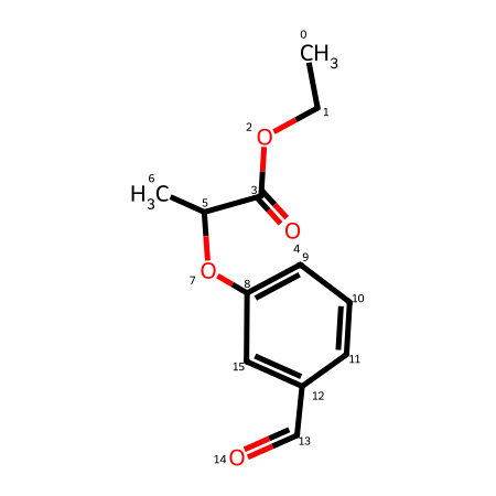 CCOC(=O)C(C)Oc1cccc(C=O)c1